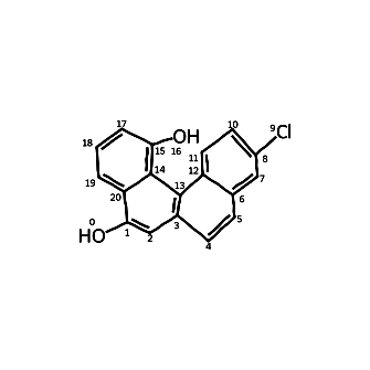 Oc1cc2ccc3cc(Cl)ccc3c2c2c(O)cccc12